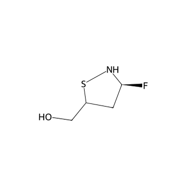 OCC1C[C@H](F)NS1